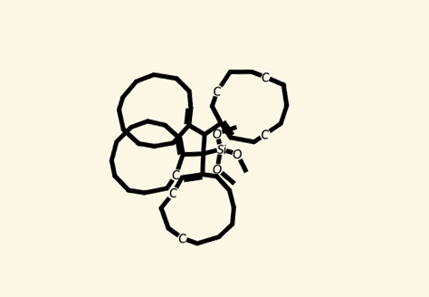 CO[Si](OC)(OC)C(/C1=C/CCCCCCCCCC1)(/C1=C/CCCCCCCCCC1)C(/C1=C/CCCCCCCCCC1)/C1=C/CCCCCCCCCC1